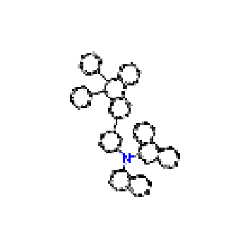 c1ccc(-c2c(-c3ccccc3)c3cc(-c4cccc(N(c5cccc6ccccc56)c5cc6ccccc6c6ccccc56)c4)ccc3c3ccccc23)cc1